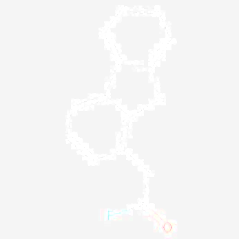 O=C(F)Cc1cccc2c1[C]c1ccccc1-2